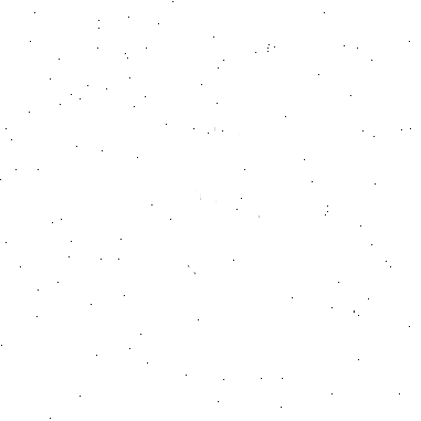 O=c1c2cc(-n3c4ccccc4c4ccccc43)ccc2oc2cc3sc4ccccc4c(=O)c3cc12